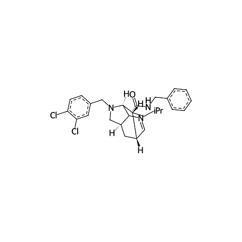 CC(C)C[C@@H]1[C@@H]2C=N[C@@]3(C(=O)NCc4ccccc4)[C@@H](C2)CN(Cc2ccc(Cl)c(Cl)c2)[C@@H]13